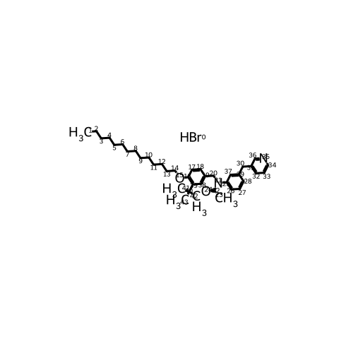 Br.CCCCCCCCCCCCCCOc1ccc(CN(C(C)=O)c2cccc(Cc3cccnc3)c2)cc1C(C)(C)C